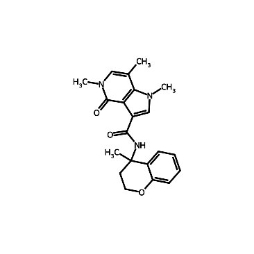 Cc1cn(C)c(=O)c2c(C(=O)NC3(C)CCOc4ccccc43)cn(C)c12